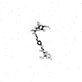 CC(C)(C)OC(=O)NCCOc1ccc(CCCCNC(=N)NC(=O)c2nc(Cl)c(N)nc2N)cc1